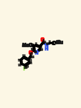 COc1cc(C(=O)NCCC(C)(C)C)cnc1OCc1cccc(F)c1